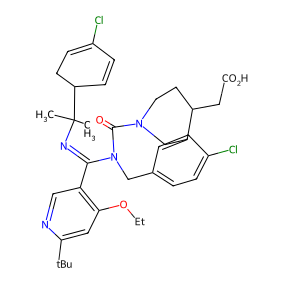 CCOc1cc(C(C)(C)C)ncc1/C(=N/C(C)(C)C1C=CC(Cl)=CC1)N(Cc1ccc(Cl)cc1)C(=O)N1CCC(CC(=O)O)CC1